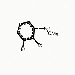 CCc1cccc(POC)c1CC